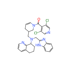 O=C(c1c(Cl)cncc1Cl)N1C=CCC(CN(Cc2nc3ccccc3[nH]2)C2CCCc3cccnc32)C1